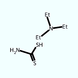 CCN(CC)CC.NC(=S)S